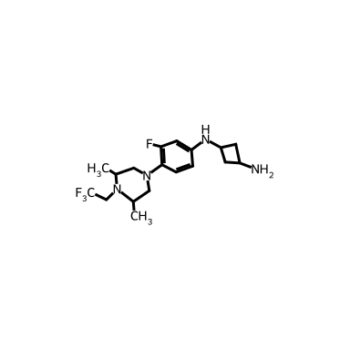 CC1CN(c2ccc(NC3CC(N)C3)cc2F)CC(C)N1CC(F)(F)F